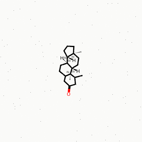 CC1CC(=O)CC2CC[C@H]3[C@@H]4CCC[C@@]4(C)CC[C@@H]3[C@@]12C